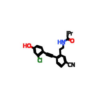 CC(C)C(=O)NCCc1cc(C#N)ccc1C#Cc1ccc(O)cc1Cl